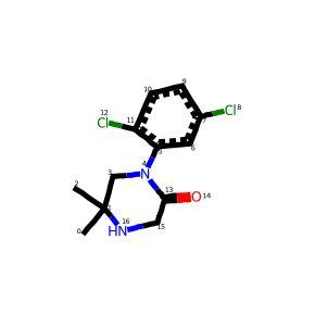 CC1(C)CN(c2cc(Cl)ccc2Cl)C(=O)CN1